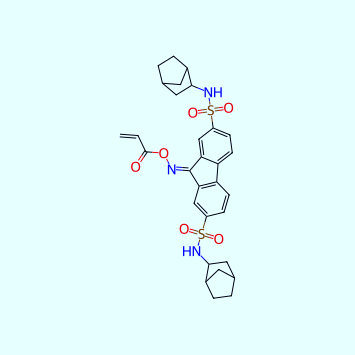 C=CC(=O)ON=C1c2cc(S(=O)(=O)NC3CC4CCC3C4)ccc2-c2ccc(S(=O)(=O)NC3CC4CCC3C4)cc21